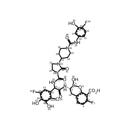 O=C(O)c1c(F)ccc2c1OB(O)[C@@H](NC(=O)C(NC(=O)N1CCN(C3CCN(C(=O)Nc4ccc(F)c(O)c4)CC3)C1=O)c1cc(F)c(O)c(O)c1Cl)C2